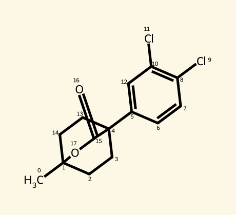 CC12CCC(c3ccc(Cl)c(Cl)c3)(CC1)C(=O)O2